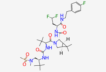 CN(C[C@@H](NC(=O)N[C@H](C(=O)N1C[C@H]2[C@@H]([C@H]1C(=O)N[C@@H](CC(F)F)C(=O)NCCc1ccc(F)cc1)C2(C)C)C(C)(C)C)C(C)(C)C)S(C)(=O)=O